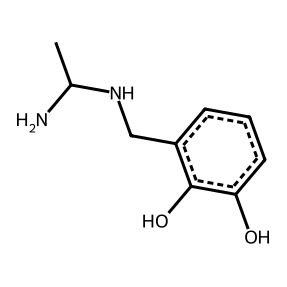 CC(N)NCc1cccc(O)c1O